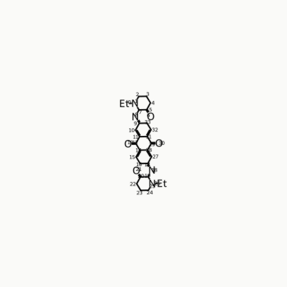 CCN1CCCC(=O)C1N=C1C=C2C(=O)C3=CCC(=NC4C(=O)CCCN4CC)C=C3C(=O)C2=CC1